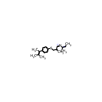 C=C(/C=N\C(C)=C/C)CSc1ccc(C(C)=C(C)C)cc1